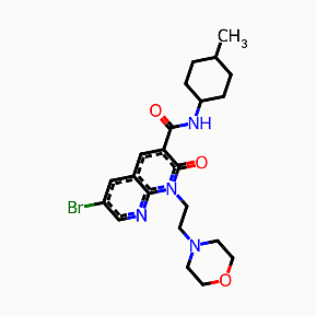 CC1CCC(NC(=O)c2cc3cc(Br)cnc3n(CCN3CCOCC3)c2=O)CC1